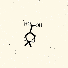 CC1(C)OCC(C(O)O)CO1